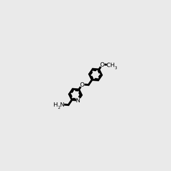 COc1ccc(COc2ccc(CN)nc2)cc1